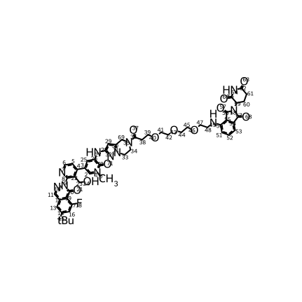 Cn1cc(-c2ccnc(-n3ncc4cc(C(C)(C)C)cc(F)c4c3=O)c2CO)cc(Nc2cc3n(n2)CCN(C(=O)CCOCCOCCOCCNc2cccc4c2C(=O)N(C2CCC(=O)NC2=O)C4=O)C3)c1=O